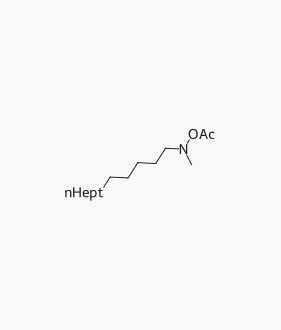 CCCCCCCCCCCCN(C)OC(C)=O